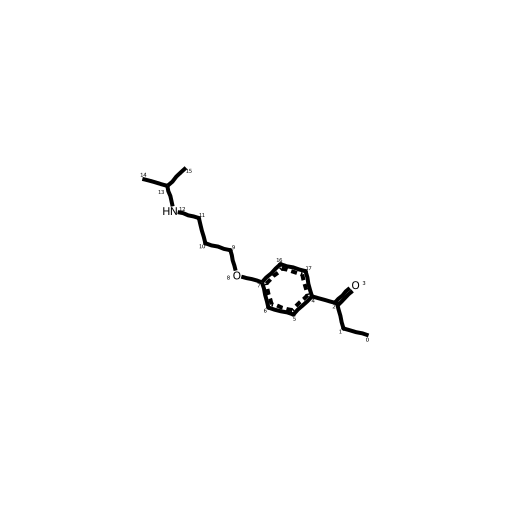 CCC(=O)c1ccc(OCCCNC(C)C)cc1